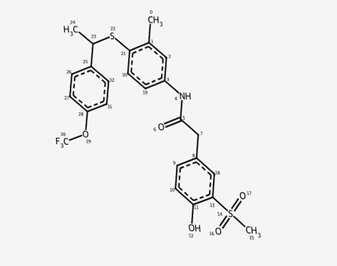 Cc1cc(NC(=O)Cc2ccc(O)c(S(C)(=O)=O)c2)ccc1SC(C)c1ccc(OC(F)(F)F)cc1